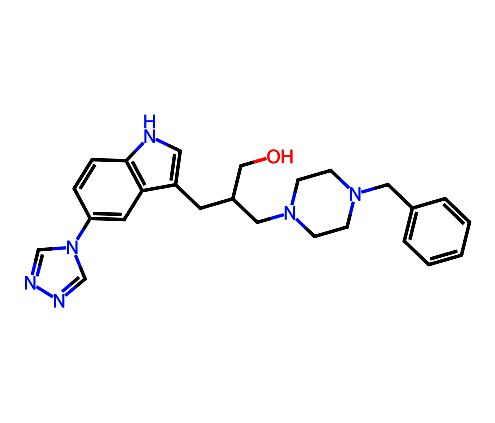 OCC(Cc1c[nH]c2ccc(-n3cnnc3)cc12)CN1CCN(Cc2ccccc2)CC1